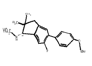 CC(C)(C)Oc1ccc(-c2cc3c(cc2F)[C@H](NC(=O)O)C(C)(C)C3)cc1